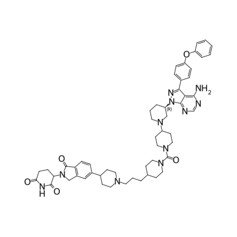 Nc1ncnc2c1c(-c1ccc(Oc3ccccc3)cc1)nn2[C@@H]1CCCN(C2CCN(C(=O)N3CCC(CCCN4CCC(c5ccc6c(c5)CN(C5CCC(=O)NC5=O)C6=O)CC4)CC3)CC2)C1